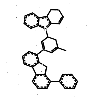 CC1=CC(c2cccc3c2Cc2c(-c4ccccc4)cccc2-3)=CC(n2c3c(c4ccccc42)CCC=C3)C1